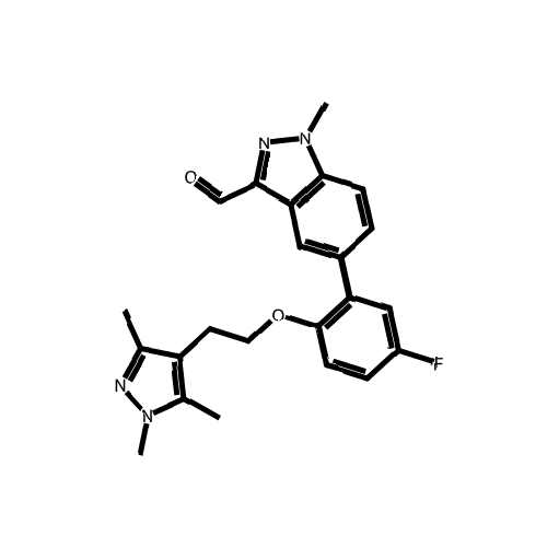 Cc1nn(C)c(C)c1CCOc1ccc(F)cc1-c1ccc2c(c1)c(C=O)nn2C